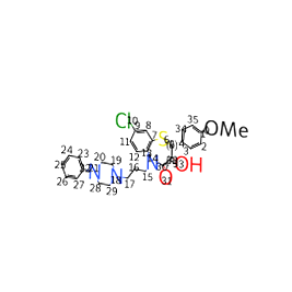 COc1ccc([C@H]2Sc3cc(Cl)ccc3N(CCCN3CCN(c4ccccc4)CC3)C(=O)[C@H]2O)cc1